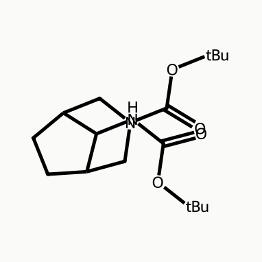 CC(C)(C)OC(=O)NC1C2CCC1CN(C(=O)OC(C)(C)C)C2